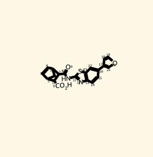 O=C(O)C1C2C=CC(C2)C1C(=O)Nc1nc2ccc(-c3ccoc3)cc2s1